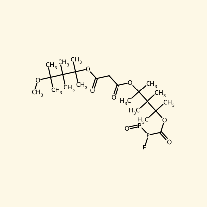 COC(C)(C)C(C)(C)C(C)(C)OC(=O)CC(=O)OC(C)(C)C(C)(C)C(C)(C)OC(=O)P(F)P=O